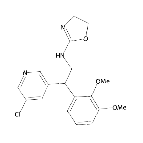 COc1cccc(C(CNC2=NCCO2)c2cncc(Cl)c2)c1OC